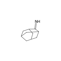 N=C1C2CC3CC(C2)CC1C3